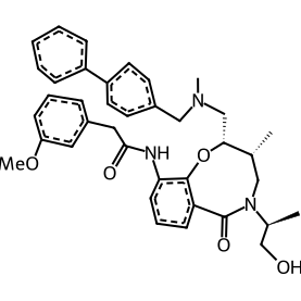 COc1cccc(CC(=O)Nc2cccc3c2O[C@H](CN(C)Cc2ccc(-c4ccccc4)cc2)[C@H](C)CN([C@@H](C)CO)C3=O)c1